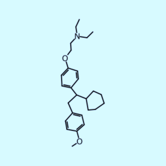 CCN(CC)CCOc1ccc(C(Cc2ccc(OC)cc2)C2CCCCC2)cc1